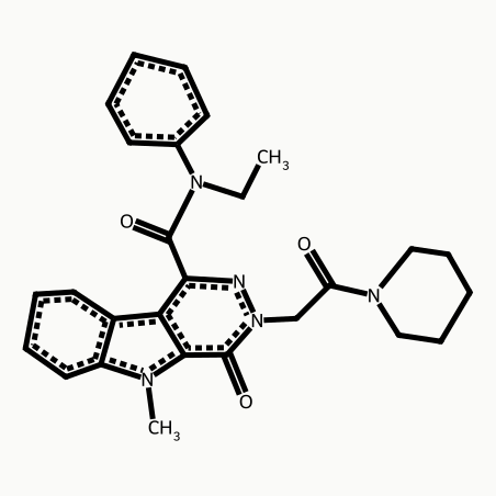 CCN(C(=O)c1nn(CC(=O)N2CCCCC2)c(=O)c2c1c1ccccc1n2C)c1ccccc1